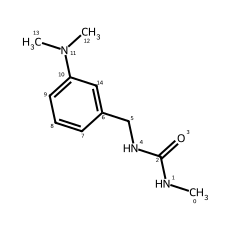 CNC(=O)NCc1cccc(N(C)C)c1